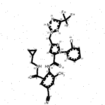 Cc1cc(C#N)cc(C(=O)NCC2CC2)c1NC(=O)c1cc(Cn2nnc(C(F)(F)F)n2)nn1-c1ncccc1Cl